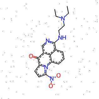 CCN(CC)CCNc1ncc2c(=O)c3ccc([N+](=O)[O-])n3c3cccc1c23